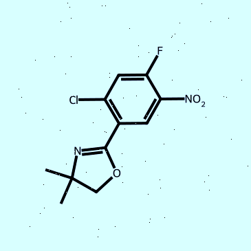 CC1(C)COC(c2cc([N+](=O)[O-])c(F)cc2Cl)=N1